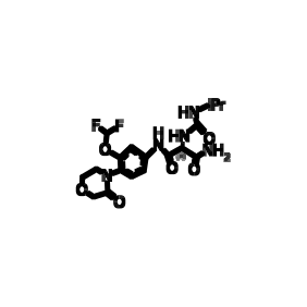 CC(C)NC(=O)N[C@H](C(N)=O)C(=O)Nc1ccc(N2CCOCC2=O)c(OC(F)F)c1